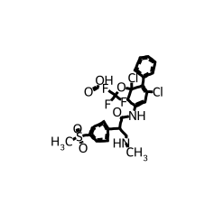 CNCC(C(=O)NC1=CC(Cl)=C(c2ccccc2)C(Cl)(OC(F)(F)F)C1)c1ccc(S(C)(=O)=O)cc1.O=CO